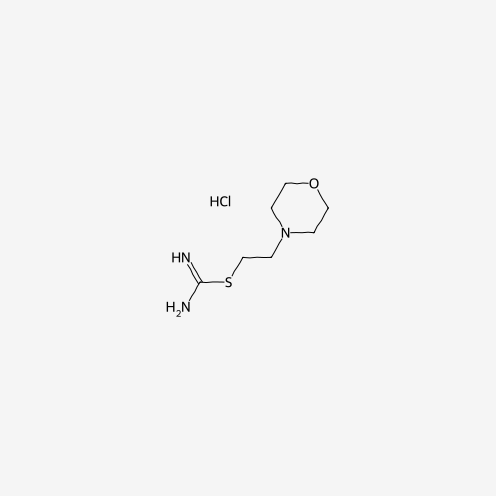 Cl.N=C(N)SCCN1CCOCC1